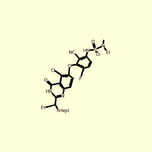 CCCCCCCC(CC)c1nc2ccc(Oc3c(F)ccc(NS(=O)(=O)N(C)CC)c3C#N)c(Cl)c2c(=O)[nH]1